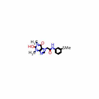 CSc1cccc(NC(=O)Cn2cnc3c2C(=O)N(C)C(O)N3C)c1